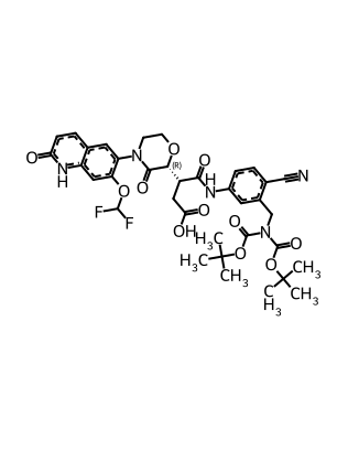 CC(C)(C)OC(=O)N(Cc1cc(NC(=O)C(CC(=O)O)[C@H]2OCCN(c3cc4ccc(=O)[nH]c4cc3OC(F)F)C2=O)ccc1C#N)C(=O)OC(C)(C)C